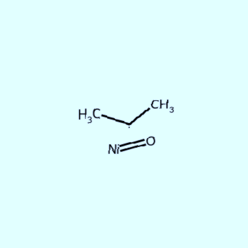 C[CH]C.[O]=[Ni]